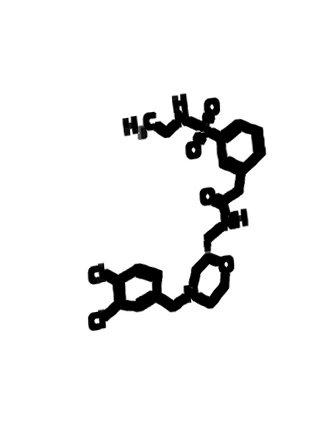 CCNS(=O)(=O)c1cccc(CC(=O)NC[C@H]2CN(Cc3ccc(Cl)c(Cl)c3)CCO2)c1